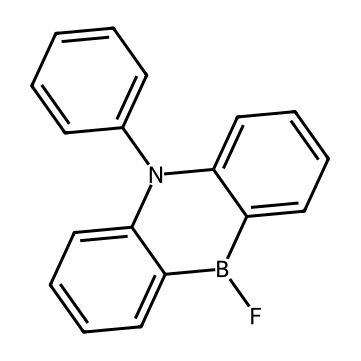 FB1c2ccccc2N(c2ccccc2)c2ccccc21